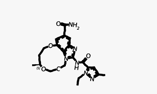 CCn1nc(C)cc1C(=O)Nc1nc2cc(C(N)=O)cc3c2n1CCCO[C@@H](C)CCO3